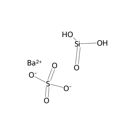 O=S(=O)([O-])[O-].O=[Si](O)O.[Ba+2]